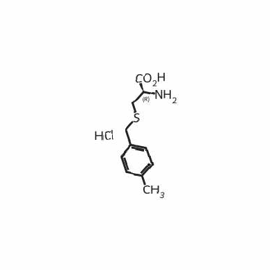 Cc1ccc(CSC[C@H](N)C(=O)O)cc1.Cl